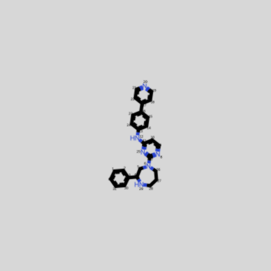 c1ccc(C2CN(c3nccc(Nc4ccc(-c5ccncc5)cc4)n3)CCCN2)cc1